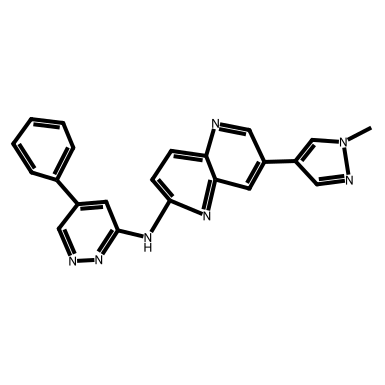 Cn1cc(-c2cnc3ccc(Nc4cc(-c5ccccc5)cnn4)nc3c2)cn1